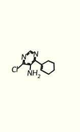 Nc1c(Cl)ncnc1C1=CCCCC1